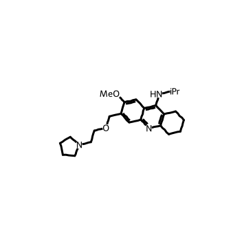 COc1cc2c(NC(C)C)c3c(nc2cc1COCCN1CCCC1)CCCC3